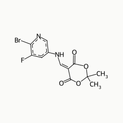 CC1(C)OC(=O)C(=CNc2cnc(Br)c(F)c2)C(=O)O1